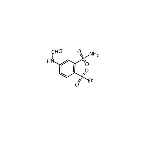 CCS(=O)(=O)c1ccc(NC=O)cc1S(N)(=O)=O